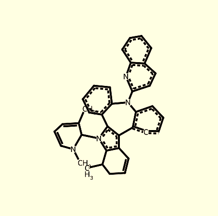 CC1=CC=CN(C)C1n1c2c(c3c1C(C)CC=C3)-c1ccccc1N(c1ccc3ccccc3n1)c1ccccc1-2